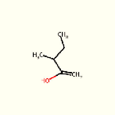 C=C(O)C(C)CC